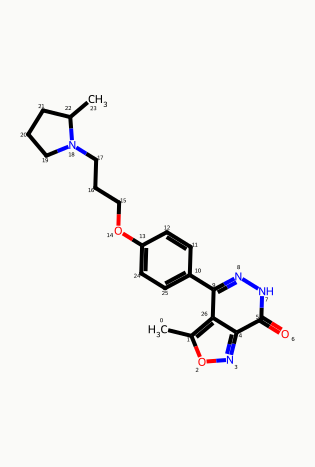 Cc1onc2c(=O)[nH]nc(-c3ccc(OCCCN4CCCC4C)cc3)c12